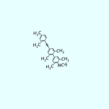 Cc1ccc(C#Cc2cc(C)c(-c3cc(C)c(N=C=S)c(C)c3)c(C)c2)c(C)c1